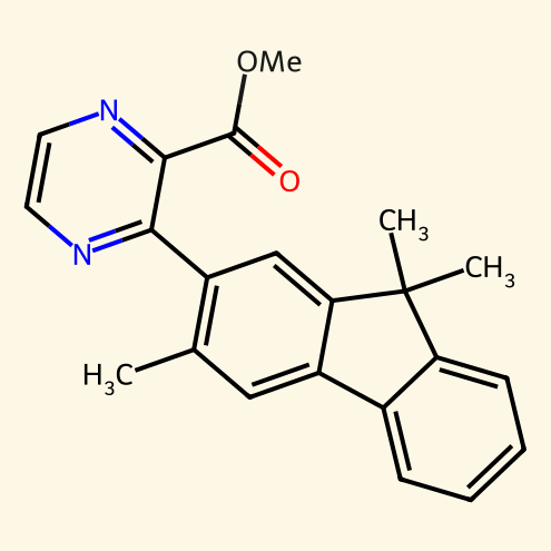 COC(=O)c1nccnc1-c1cc2c(cc1C)-c1ccccc1C2(C)C